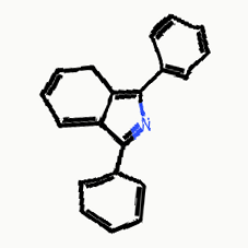 C1=CCC2=C(c3ccccc3)N=C(c3ccccc3)C2=C1